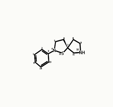 c1ccc(N2CC[C@]3(CCNC3)S2)cc1